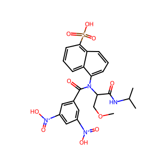 COCC(C(=O)NC(C)C)N(C(=O)c1cc([N+](=O)O)cc([N+](=O)O)c1)c1cccc2c(S(=O)(=O)O)cccc12